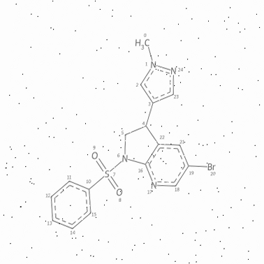 Cn1cc(C2CN(S(=O)(=O)c3ccccc3)c3ncc(Br)cc32)cn1